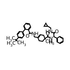 CC1(C(=O)N[C@H](C(=O)NCC2CC2)c2ccccc2)CC=C(CNC(=O)c2ccccc2-c2ccc(C(C)(C)C)cc2)CC1